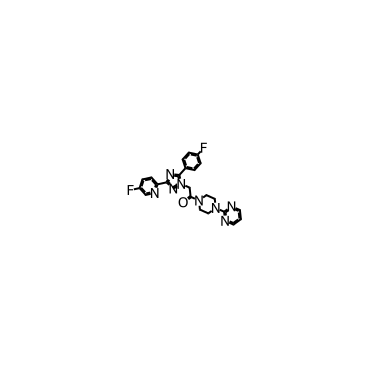 O=C(Cn1nc(-c2ccc(F)cn2)nc1-c1ccc(F)cc1)N1CCN(c2ncccn2)CC1